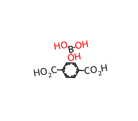 O=C(O)c1ccc(C(=O)O)cc1.OB(O)O